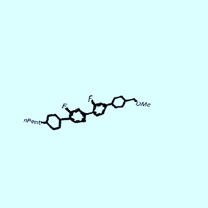 CCCCCC1CCC(c2ccc(-c3ccc(C4CCC(COC)CC4)cc3F)cc2F)CC1